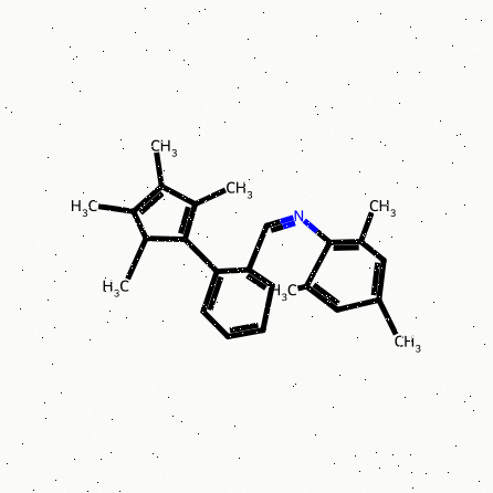 CC1=C(C)C(C)C(c2ccccc2/C=N\c2c(C)cc(C)cc2C)=C1C